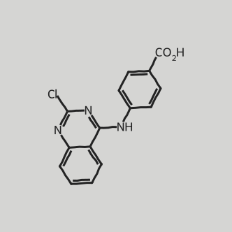 O=C(O)c1ccc(Nc2nc(Cl)nc3ccccc23)cc1